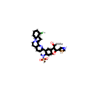 CNC(=O)c1c(-c2cncs2)oc2cc(N(C)S(C)(=O)=O)c(-c3ccc4c(n3)-c3cc5c(F)cccc5n3CC4)cc12